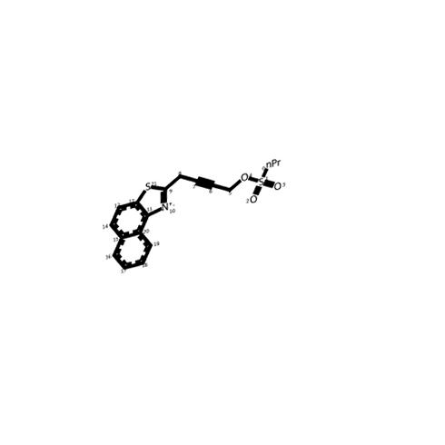 CCCS(=O)(=O)OCC#CCC1=[N+]c2c(ccc3ccccc23)S1